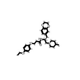 CCOc1ccc(OCCC(=O)N[C@@H](Cc2ccc3c(c2)OCCO3)CN2CCC(C)CC2)cc1